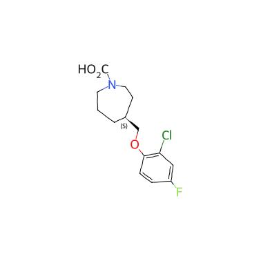 O=C(O)N1CCC[C@H](COc2ccc(F)cc2Cl)CC1